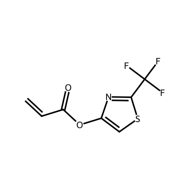 C=CC(=O)Oc1csc(C(F)(F)F)n1